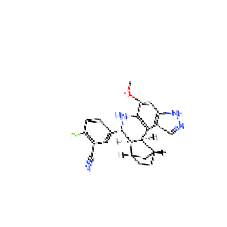 COc1cc2[nH]ncc2c2c1N[C@@H](c1ccc(F)c(C#N)c1)[C@@H]1[C@H]3CC[C@H](C3)[C@H]21